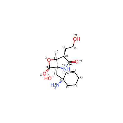 C[C@@]12OC(=O)[C@]1([C@@H](O)[C@]1(N)C=CCCC1)NC(=O)[C@@H]2CCO